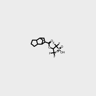 O=C(OC(C(F)(F)F)C(F)(F)S(=O)(=O)O)C1CC2CC1C1CCCC21